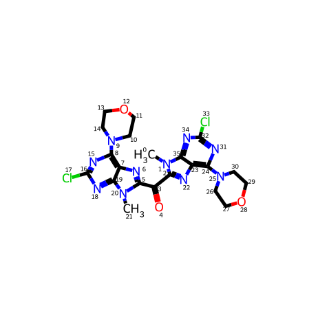 Cn1c(C(=O)c2nc3c(N4CCOCC4)nc(Cl)nc3n2C)nc2c(N3CCOCC3)nc(Cl)nc21